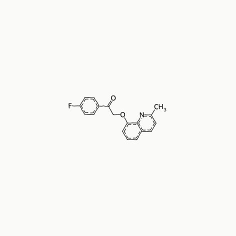 Cc1ccc2cccc(OCC(=O)c3ccc(F)cc3)c2n1